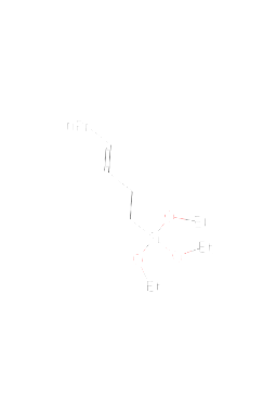 CCCC=CCC[Si](OCC)(OCC)OCC